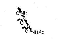 C=CC(=O)NCCN(CCCN(CCNC(C)=O)C(=O)C=C)C(=O)C=C